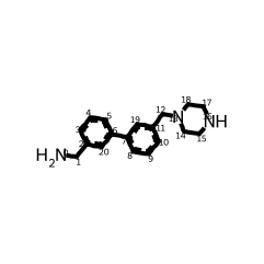 NCc1cccc(-c2cccc(CN3CCNCC3)c2)c1